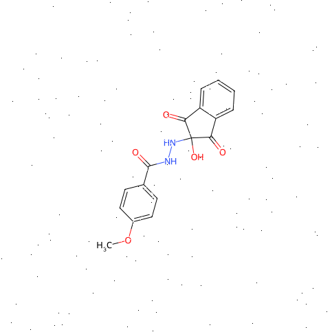 COc1ccc(C(=O)NNC2(O)C(=O)c3ccccc3C2=O)cc1